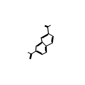 O=C([O-])c1ccc2ccc(C(=O)[O-])cc2c1.[Zn+2]